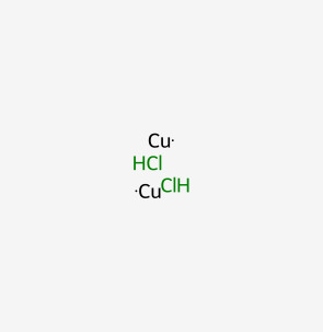 Cl.Cl.[Cu].[Cu]